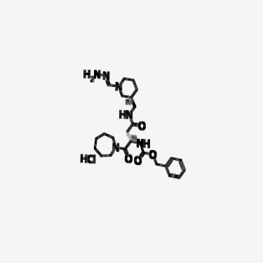 Cl.NN=CN1CCC[C@@H](CNC(=O)C[C@H](NC(=O)OCc2ccccc2)C(=O)N2CCCCCC2)C1